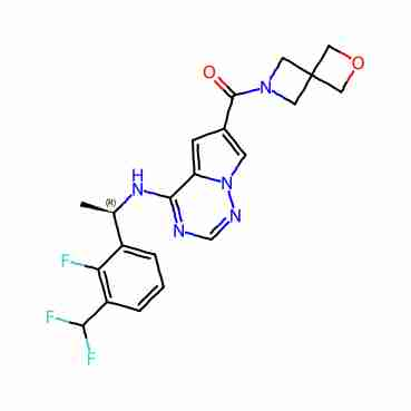 C[C@@H](Nc1ncnn2cc(C(=O)N3CC4(COC4)C3)cc12)c1cccc(C(F)F)c1F